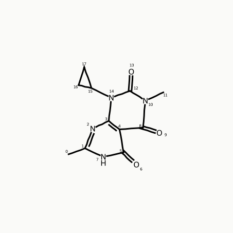 Cc1nc2c(c(=O)[nH]1)c(=O)n(C)c(=O)n2C1CC1